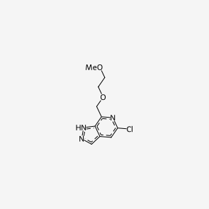 COCCOCc1nc(Cl)cc2cn[nH]c12